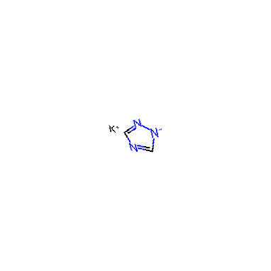 [K+].c1nc[n-]n1